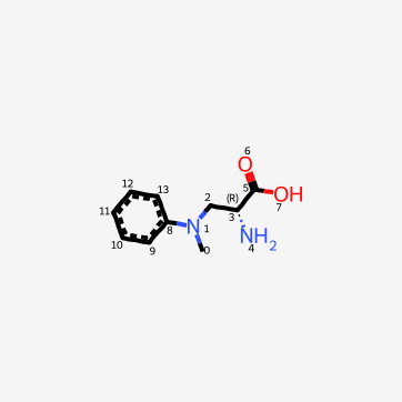 CN(C[C@@H](N)C(=O)O)c1ccccc1